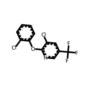 FC(F)(F)c1cnc(Oc2c[c]ccc2Cl)c(Cl)c1